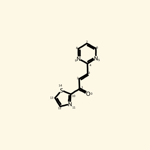 O=C(/C=C/c1ncccn1)c1nccs1